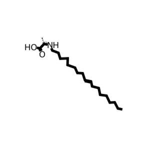 CCCCCCCCC=CCCCCCCCCN[C@@H](C)C(=O)O